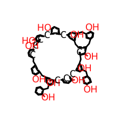 Oc1ccc(Cc2cc3c(O)c(c2)Cc2cc4cc(c2O)Cc2ccc(O)c(c2)Cc2cc(c(O)c(c2)C4)Cc2ccc(O)c(c2)Cc2ccc(O)c(c2)Cc2cc(ccc2O)Cc2ccc(O)c(c2)Cc2cc(Cc4ccccc4O)cc(c2O)Cc2ccc(O)c(c2)C3)cc1